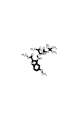 COC(=O)c1sc2ccc(OC)cc2c1NC[C@@H](NC(=O)OC(C)(C)C)C(C)C